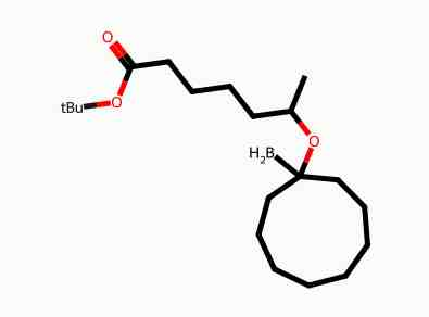 BC1(OC(C)CCCCC(=O)OC(C)(C)C)CCCCCCCC1